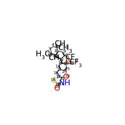 CC1(C)CCC(C)(C)c2cc(C(F)(F)F)c(-c3cc(/C=C4/SC(=O)NC4=O)ccc3OC(F)(F)F)cc21